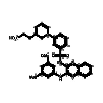 COc1cc(Nc2nc3ccccc3nc2NS(=O)(=O)c2cccc(N3C=CC=C(CCC(=O)O)C3)c2)cc(OC)c1